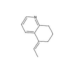 CC=C1CCCc2ncccc21